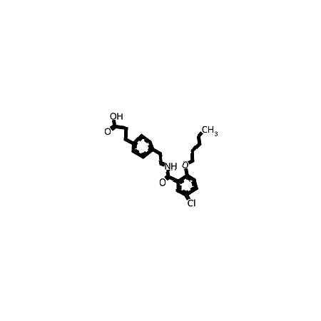 CCCCCOc1ccc(Cl)cc1C(=O)NCCc1ccc(CCC(=O)O)cc1